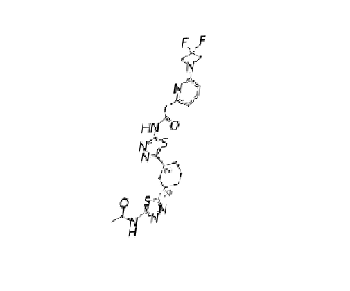 CC(=O)Nc1nnc([C@H]2CCC[C@H](c3nnc(NC(=O)Cc4cccc(N5CC(F)(F)C5)n4)s3)C2)s1